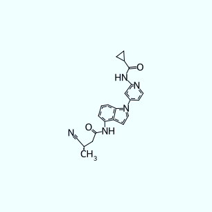 C[C@@H](C#N)CC(=O)Nc1cccc2c1ccn2-c1ccnc(NC(=O)C2CC2)c1